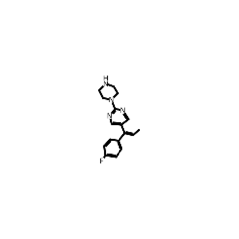 CC=C(c1ccc(F)cc1)c1cnc(N2CCNCC2)nc1